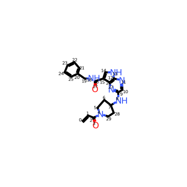 C=CC(=O)N1CCC(Nc2cnc3[nH]cc(C(=O)NCc4ccccc4)c3n2)CC1